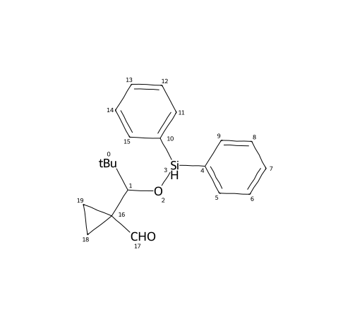 CC(C)(C)C(O[SiH](c1ccccc1)c1ccccc1)C1(C=O)CC1